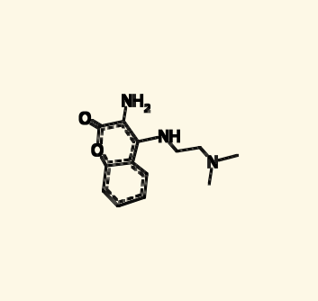 CN(C)CCNc1c(N)c(=O)oc2ccccc12